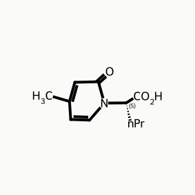 CCC[C@@H](C(=O)O)n1ccc(C)cc1=O